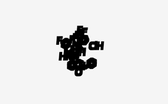 Cl.O=C(N[C@@H](Cc1cc(F)cc(F)c1)[C@H](O)CNC1(c2cccc(C(F)(F)F)c2)CC1)c1cccc2c1CCN(Cc1ccccc1)C2=O